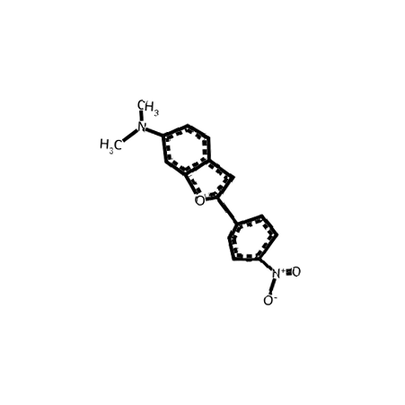 CN(C)c1ccc2cc(-c3ccc([N+](=O)[O-])cc3)oc2c1